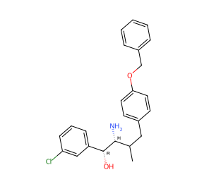 CC(Cc1ccc(OCc2ccccc2)cc1)[C@@H](N)[C@H](O)c1cccc(Cl)c1